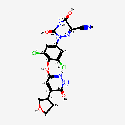 N#Cc1nn(-c2cc(Cl)c(Oc3cc(C4CCOC4)c(=O)[nH]n3)c(Cl)c2)c(=O)[nH]c1=O